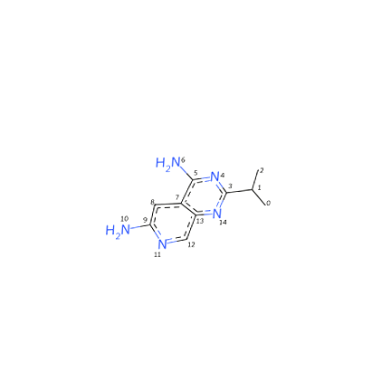 CC(C)c1nc(N)c2cc(N)ncc2n1